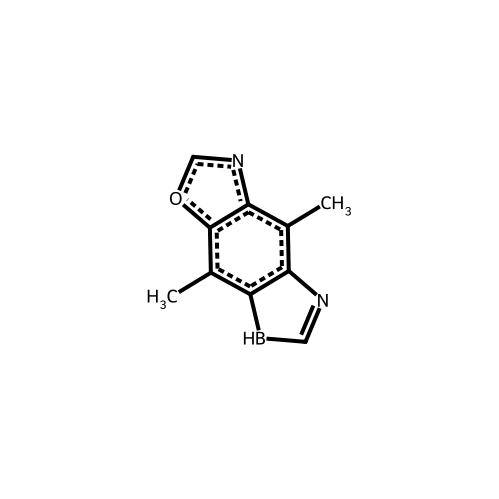 Cc1c2c(c(C)c3ocnc13)BC=N2